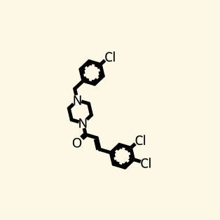 O=C(C=Cc1ccc(Cl)c(Cl)c1)N1CCN(Cc2ccc(Cl)cc2)CC1